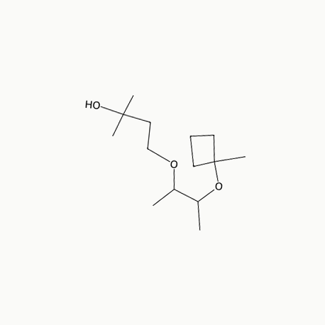 CC(OCCC(C)(C)O)C(C)OC1(C)CCC1